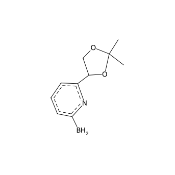 Bc1cccc(C2COC(C)(C)O2)n1